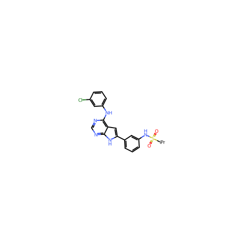 CC(C)S(=O)(=O)Nc1cccc(-c2cc3c(Nc4cccc(Cl)c4)ncnc3[nH]2)c1